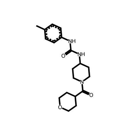 Cc1ccc(NC(=O)NC2CCN(C(=O)C3CCOCC3)CC2)cc1